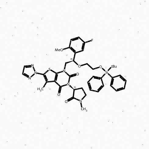 COc1ccc(F)cc1[C@H](Cn1c(=O)n([C@H]2CCN(C)C2=O)c(=O)c2c(C)c(-n3nccn3)sc21)OCCO[Si](c1ccccc1)(c1ccccc1)C(C)(C)C